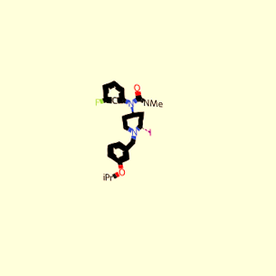 CNC(=O)N(c1cccc(F)c1)[C@@H]1CCN(Cc2cccc(OC(C)C)c2)[C@@H](I)C1